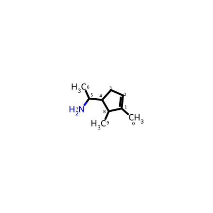 CC1=CCC(C(C)N)C1C